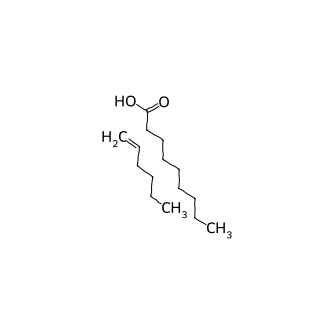 C=CCCCC.CCCCCCCCC(=O)O